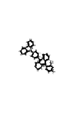 CCc1cc(F)ccc1-c1c2ccccc2c(-c2ccc(-n3c4ccccc4c4ccccc43)cc2)c2ccccc12